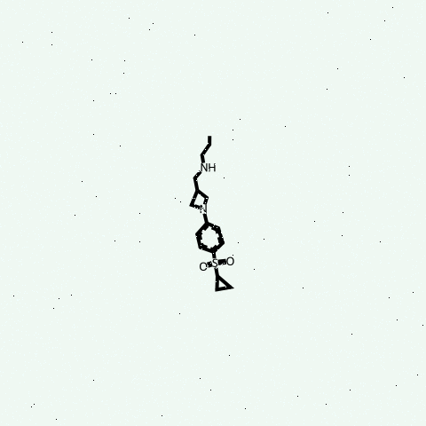 CCCNCC1CN(c2ccc(S(=O)(=O)C3CC3)cc2)C1